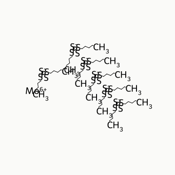 CCCCCSP(=S)([S-])SCCCCC.CCCCCSP(=S)([S-])SCCCCC.CCCCCSP(=S)([S-])SCCCCC.CCCCCSP(=S)([S-])SCCCCC.CCCCCSP(=S)([S-])SCCCCC.CCCCCSP(=S)([S-])SCCCCC.[Mo+6]